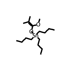 CCC[CH2][Sn]([CH2]CCC)([CH2]CCC)[O]C(OC)=C(C)C